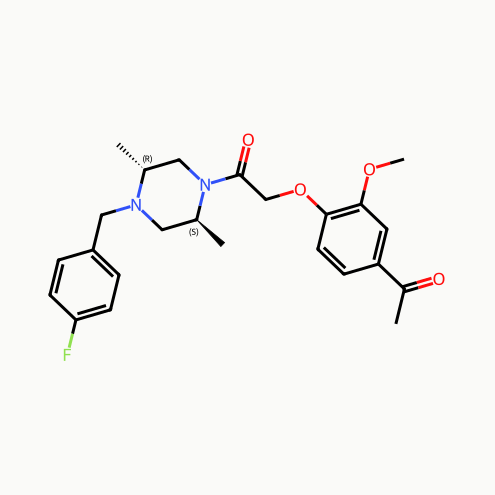 COc1cc(C(C)=O)ccc1OCC(=O)N1C[C@@H](C)N(Cc2ccc(F)cc2)C[C@@H]1C